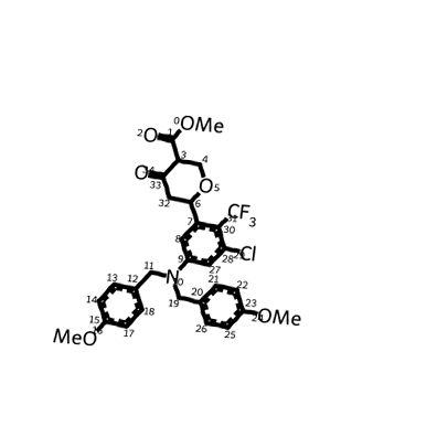 COC(=O)C1COC(c2cc(N(Cc3ccc(OC)cc3)Cc3ccc(OC)cc3)cc(Cl)c2C(F)(F)F)CC1=O